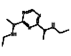 CCNN(C)c1ncnc(N(C)NCC)n1